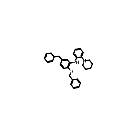 C1=CCC(Cc2ccc(OCc3ccccc3)c(Pc3ccccc3N3CCCCC3)c2)C=C1